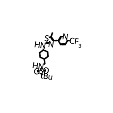 Cc1sc(NC2CCC(CNS(=O)(=O)C(C)(C)C)CC2)nc1-c1ccc(C(F)(F)F)nc1